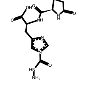 NNC(=O)n1cnc(C[C@H](NC(=O)[C@H]2CCC(=O)N2)C(=O)O)c1